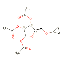 CC(=O)OC1O[C@H](COC2CC2)[C@@H](OC(C)=O)[C@H]1OC(C)=O